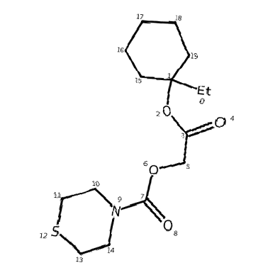 CCC1(OC(=O)COC(=O)N2CCSCC2)CCCCC1